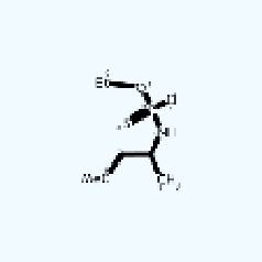 CCOP(=S)(Cl)NC(C)COC